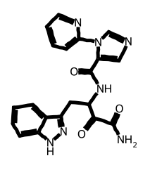 NC(=O)C(=O)C(Cc1n[nH]c2ccccc12)NC(=O)c1cncn1-c1ccccn1